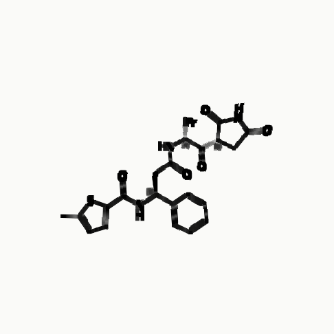 Cc1ccc(C(=O)N[C@@H](CC(=O)N[C@@H](C(=O)[C@H]2CC(=O)NC2=O)C(C)C)c2ccccc2)s1